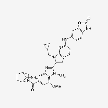 COc1cc(C(=O)N2CC3CCC2C3N)cc2nc(-c3cc4ccc(Nc5ccc6[nH]c(=O)oc6c5)nc4n3CC3CC3)n(C)c12